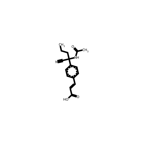 CCCC(C#N)(NC(C)=O)c1ccc(C=CC(=O)O)cc1